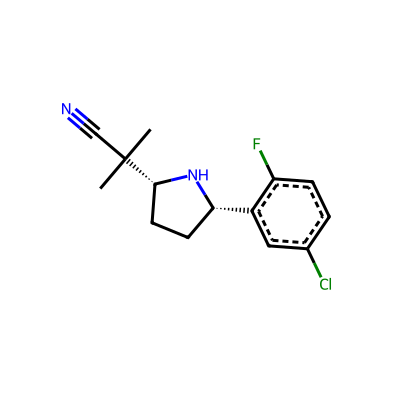 CC(C)(C#N)[C@H]1CC[C@@H](c2cc(Cl)ccc2F)N1